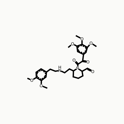 COc1ccc(CCNCCC2CCCC(C=O)N2C(=O)C(=O)c2cc(OC)c(OC)c(OC)c2)cc1OC